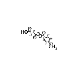 COc1ccc(C(=O)OOC(=O)CCC(=O)O)cc1